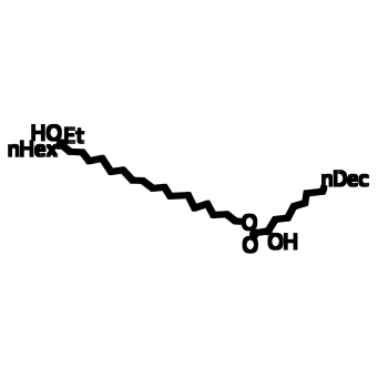 CCCCCCCCCCCCCCCCC(O)C(=O)OCCCCCCCCCCCCCCCCCC(O)(CC)CCCCCC